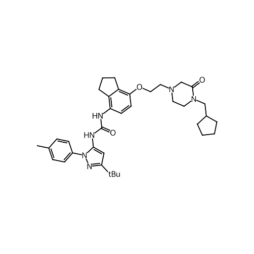 Cc1ccc(-n2nc(C(C)(C)C)cc2NC(=O)Nc2ccc(OCCN3CCN(CC4CCCC4)C(=O)C3)c3c2CCC3)cc1